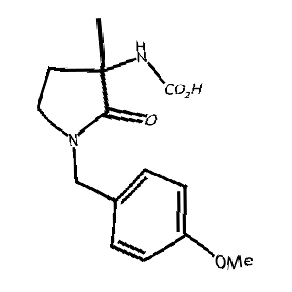 COc1ccc(CN2CCC(C)(NC(=O)O)C2=O)cc1